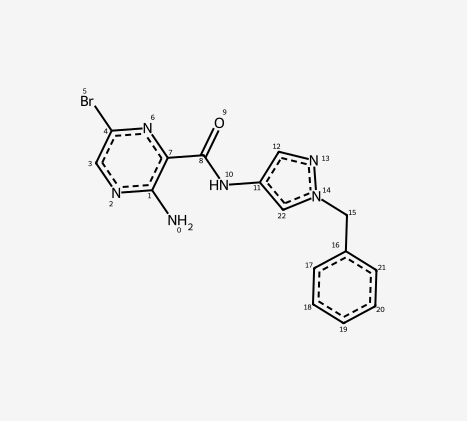 Nc1ncc(Br)nc1C(=O)Nc1cnn(Cc2ccccc2)c1